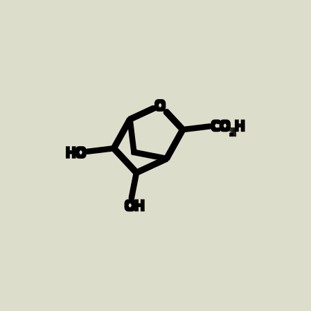 O=C(O)C1OC2CC1C(O)C2O